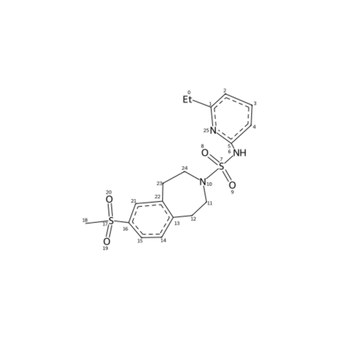 CCc1cccc(NS(=O)(=O)N2CCc3ccc(S(C)(=O)=O)cc3CC2)n1